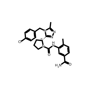 Cc1ccc(C(N)=O)cc1NC(=O)N1CCC[C@@H]1c1nnc(C)n1Cc1ccc(Cl)cc1